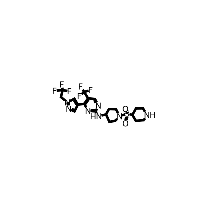 O=S(=O)(C1CCNCC1)N1CCC(Nc2ncc(C(F)(F)F)c(-c3cnn(CC(F)(F)F)c3)n2)CC1